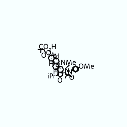 CNCCn1c([C@@]23CC[C@]4(C)[C@H](CC[C@@H]5[C@@]6(C)CC[C@H](OC(=O)CC(C)(C)C(=O)O)C(C)(C)[C@@H]6CC[C@]54C)C2=C(C(C)C)C(=O)C3)c(C)c(=O)n1-c1ccc(OC)cc1